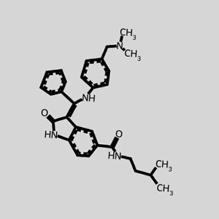 CC(C)CCNC(=O)c1ccc2c(c1)C(=C(Nc1ccc(CN(C)C)cc1)c1ccccc1)C(=O)N2